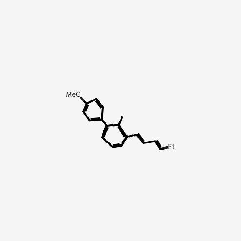 CC/C=C/C=C/c1cccc(-c2ccc(OC)cc2)c1C